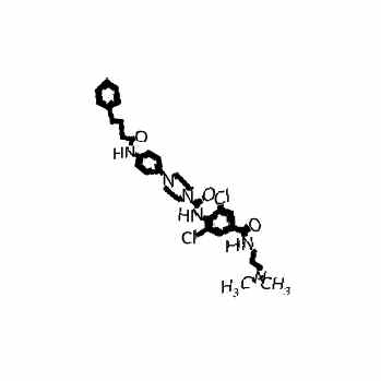 CN(C)CCCNC(=O)c1cc(Cl)c(NC(=O)N2CCN(c3ccc(NC(=O)CCCc4ccccc4)cc3)CC2)c(Cl)c1